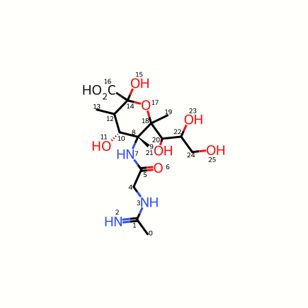 CC(=N)NCC(=O)N[C@]1(C)[C@H](O)C(C)C(O)(C(=O)O)OC1(C)C(O)C(O)CO